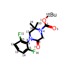 CC(C)(C)OC(=O)N1CC(=O)N(c2c(F)cccc2F)CC1(C)C